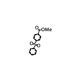 COC(=O)c1ccc(S(=O)(=O)c2ccccc2)cc1